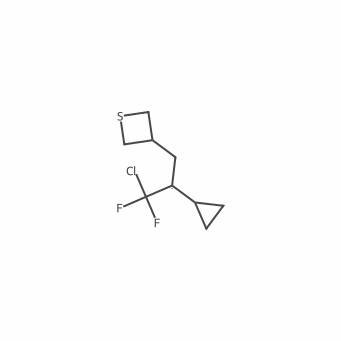 FC(F)(Cl)[C](CC1CSC1)C1CC1